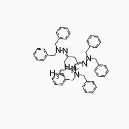 CC(CC(CC(C)=NN(Cc1ccccc1)Cc1ccccc1)=NN(Cc1ccccc1)Cc1ccccc1)=NN(Cc1ccccc1)Cc1ccccc1